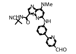 CNc1cc(Nc2cccc(-c3ccc(C=O)cn3)c2)nn2c(C(=O)NC(C)(C)C#N)cnc12